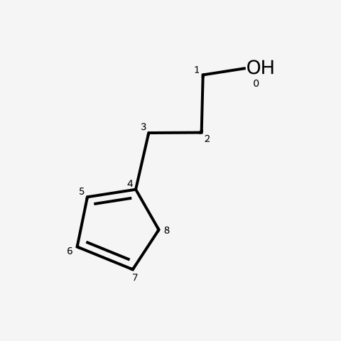 OCCCC1=CC=CC1